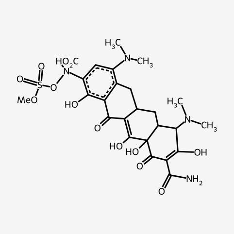 COS(=O)(=O)ON(C(=O)O)c1cc(N(C)C)c2c(c1O)C(=O)C1=C(O)C3(O)C(=O)C(C(N)=O)=C(O)C(N(C)C)C3CC1C2